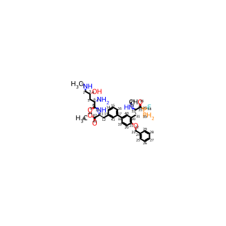 CNC[C@H](O)C[C@H](N)C(=O)N[C@@H](Cc1cccc(-c2ccc(OCc3ccccc3)c(C[C@H](NC)C(=O)P(F)P)c2)c1)C(=O)OC